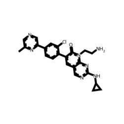 Cc1cncc(-c2ccc(-c3cc4cnc(NC5CC5)nc4n(CCN)c3=O)c(Cl)c2)n1